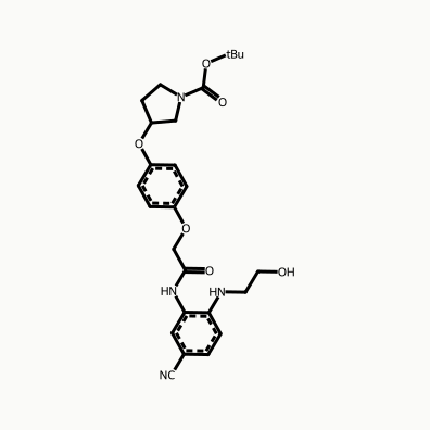 CC(C)(C)OC(=O)N1CCC(Oc2ccc(OCC(=O)Nc3cc(C#N)ccc3NCCO)cc2)C1